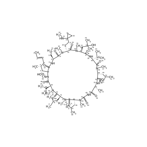 C/C=C/C[C@@H](C)[C@@H](O)C1C(=O)N[C@@H](CC)C(=O)N(C)[C@H](SCC2(NC)CC2)C(=O)N(C)[C@@H](CC(C)(C)O)C(=O)N[C@H](C(C)C)C(=O)N(C)[C@H](CC(C)C)C(=O)N[C@H](C)C(=O)NC(=O)N(C)[C@H](CC(C)C)C(=O)N(C)[C@@H](CC(C)C)C(=O)N(C)[C@@H](C(C)C)C(=O)N1C